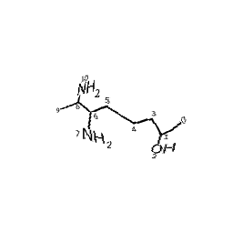 CC(O)CCCC(N)C(C)N